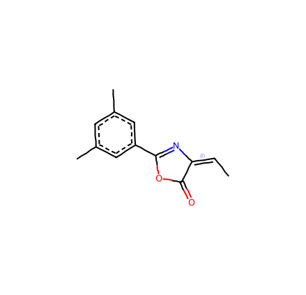 C/C=C1/N=C(c2cc(C)cc(C)c2)OC1=O